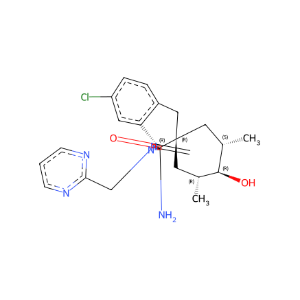 C[C@@H]1C[C@@]2(Cc3ccc(Cl)cc3[C@]23N=C(N)N(Cc2ncccn2)C3=O)C[C@H](C)[C@H]1O